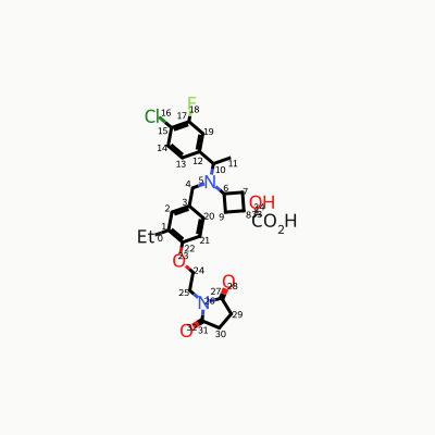 CCc1cc(CN(C2CCC2)C(C)c2ccc(Cl)c(F)c2)ccc1OCCN1C(=O)CCC1=O.O=C(O)O